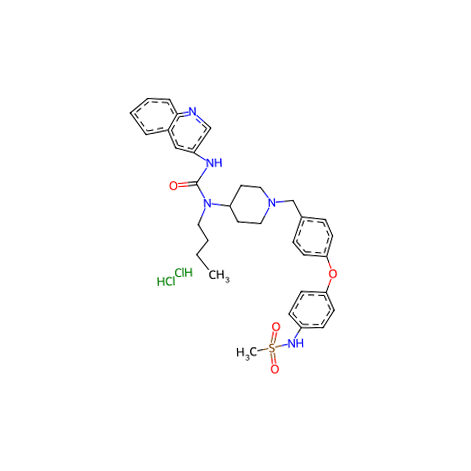 CCCCN(C(=O)Nc1cnc2ccccc2c1)C1CCN(Cc2ccc(Oc3ccc(NS(C)(=O)=O)cc3)cc2)CC1.Cl.Cl